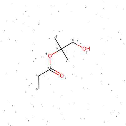 CCC(=O)OC(C)(C)CO